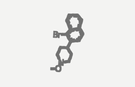 CON1CCC(c2ccc3ccccc3c2Br)CC1